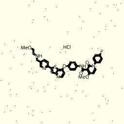 COCCNCc1ccc(-c2cc3nccc(Oc4ccc(NC(=O)c5c(OC)ccn(-c6ccc(F)cc6)c5=O)cc4)c3s2)nc1.Cl